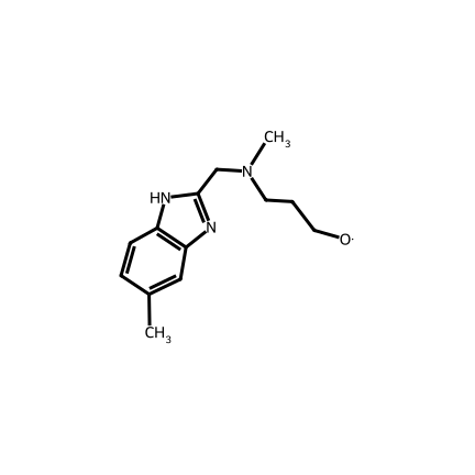 Cc1ccc2[nH]c(CN(C)CCC[O])nc2c1